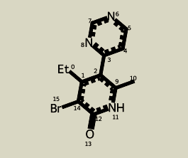 CCc1c(-c2ccncn2)c(C)[nH]c(=O)c1Br